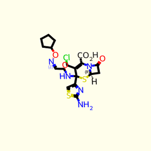 Nc1nc(C2(NC(=O)/C=N\OC3CCCC3)S[C@@H]3CC(=O)N3C(C(=O)O)=C2CCl)cs1